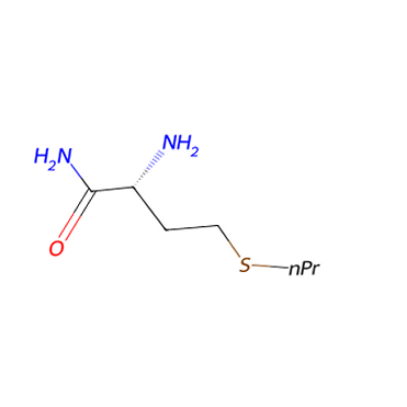 CCCSCC[C@@H](N)C(N)=O